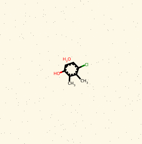 Cc1c(O)ccc(Cl)c1C.O